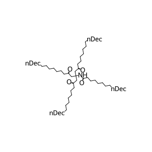 CCCCCCCCCCCCCCCCCC(=O)CC(CC(=O)CCCCCCCCCCCCCCCCC)(CC(=O)CCCCCCCCCCCCCCCCC)NC(=O)CCCCCCCCCCCCCCCCC